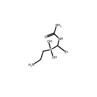 CCC(NC(N)=O)[Si](O)(O)CCN